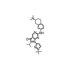 CC(C)n1c(=O)c2cnc(Nc3ccc4c(c3)CC(N(C)C)CC4)nc2n1-c1ccn(C(C)(C)C)n1